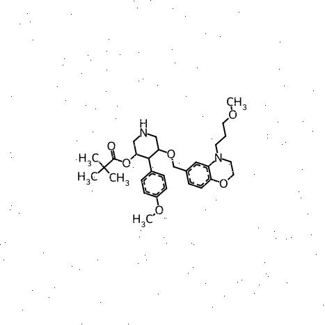 COCCCN1CCOc2ccc(COC3CNCC(OC(=O)C(C)(C)C)C3c3ccc(OC)cc3)cc21